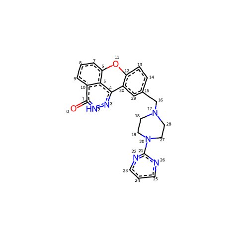 O=c1[nH]nc2c3c(cccc13)Oc1ccc(CN3CCN(c4ncccn4)CC3)cc1-2